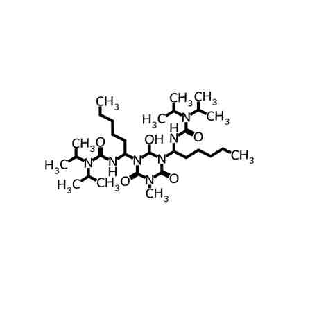 CCCCCC(NC(=O)N(C(C)C)C(C)C)N1C(=O)N(C)C(=O)N(C(CCCCC)NC(=O)N(C(C)C)C(C)C)C1O